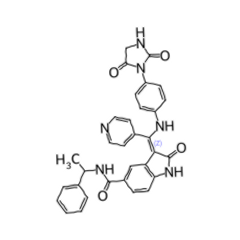 CC(NC(=O)c1ccc2c(c1)/C(=C(/Nc1ccc(N3C(=O)CNC3=O)cc1)c1ccncc1)C(=O)N2)c1ccccc1